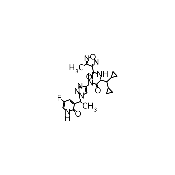 Cc1nonc1C(=O)N[C@H](C(=O)Nc1cn(C(C)c2cc(F)c[nH]c2=O)nn1)C(C1CC1)C1CC1